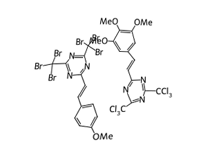 COc1cc(C=Cc2nc(C(Cl)(Cl)Cl)nc(C(Cl)(Cl)Cl)n2)cc(OC)c1OC.COc1ccc(C=Cc2nc(C(Br)(Br)Br)nc(C(Br)(Br)Br)n2)cc1